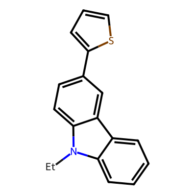 CCn1c2ccccc2c2cc(-c3cccs3)ccc21